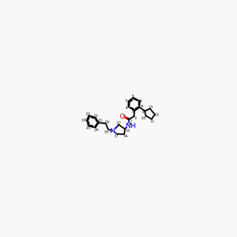 O=C(Cc1ccccc1C1CCCC1)NC1CCN(CCc2ccccc2)C1